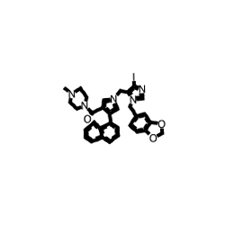 CN1CCN(C(=O)c2cn(Cc3c(I)ncn3Cc3ccc4c(c3)OCO4)cc2-c2cccc3ccccc23)CC1